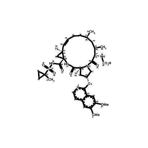 COc1cc2ccnc(O[C@@H]3C[C@H]4C(=O)N[C@]5(C(=O)NS(=O)(=O)C6(C)CC6)C[C@H]5C=CCC[C@@H](C)C[C@@H](C)[C@H](NC(=O)O)C(=O)N4C3)c2cc1OC